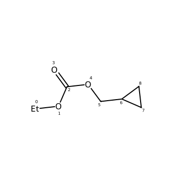 [CH2]COC(=O)OCC1CC1